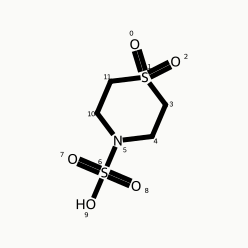 O=S1(=O)CCN(S(=O)(=O)O)CC1